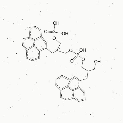 O=P(O)(O)OCC(COP(=O)(O)OCC(CO)Cc1cc2cccc3ccc4cccc1c4c32)Cc1cc2cccc3ccc4cccc1c4c32